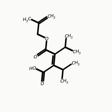 C=C(C)COC(=O)/C(=C(\C(=O)O)C(C)C)C(C)C